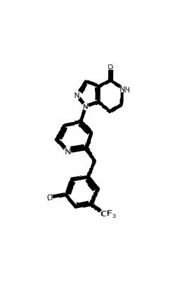 O=C1NCCc2c1cnn2-c1ccnc(Cc2cc(Cl)cc(C(F)(F)F)c2)c1